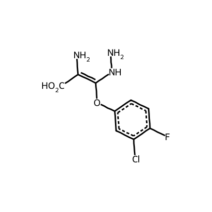 NN/C(Oc1ccc(F)c(Cl)c1)=C(\N)C(=O)O